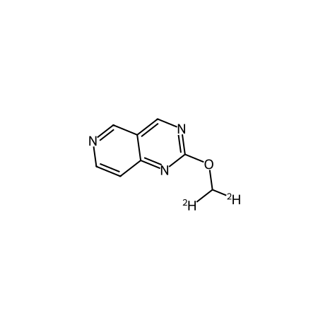 [2H]C([2H])Oc1ncc2cnccc2n1